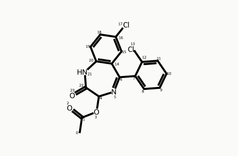 CC(=O)OC1N=C(c2ccccc2Cl)c2cc(Cl)ccc2NC1=O